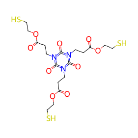 O=C(CCn1c(=O)n(CCC(=O)OCCS)c(=O)n(CCC(=O)OCCS)c1=O)OCCS